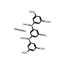 O=CN(c1cc(C(=O)[O-])cc(C(=O)[O-])c1)c1cc(N(C=O)c2cc(C(=O)[O-])cc(C(=O)[O-])c2)cc([N+](=O)[O-])c1.[Na+].[Na+].[Na+].[Na+]